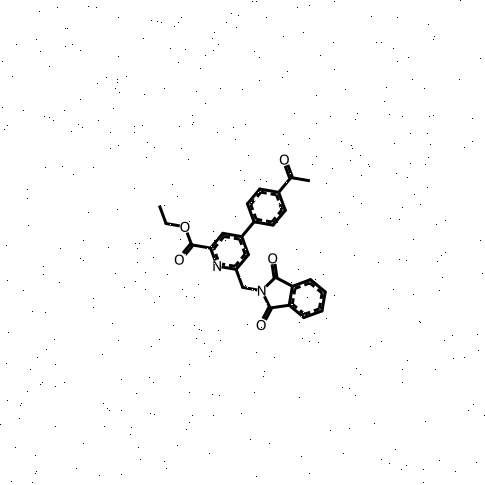 CCOC(=O)c1cc(-c2ccc(C(C)=O)cc2)cc(CN2C(=O)c3ccccc3C2=O)n1